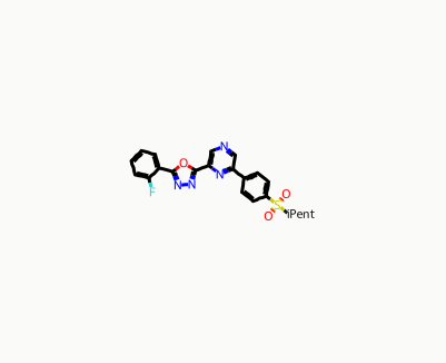 CCCC(C)S(=O)(=O)c1ccc(-c2cncc(-c3nnc(-c4ccccc4F)o3)n2)cc1